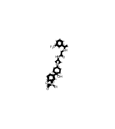 C=C(NCC(=O)NC1CN(C2CCC(O)(c3ccc4oc(=O)n(CC)c4c3)CC2)C1)c1cccc(C(F)(F)F)c1